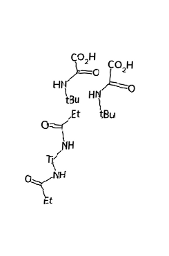 CC(C)(C)NC(=O)C(=O)O.CC(C)(C)NC(=O)C(=O)O.CCC(=O)[NH][Ti][NH]C(=O)CC